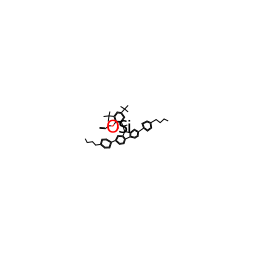 C=CCOc1c(C(C)(C)C)cc(C(C)(C)C)cc1[Si](C)(C)C1c2cc(-c3ccc(CCCC)cc3)ccc2-c2ccc(-c3ccc(CCCC)cc3)cc21